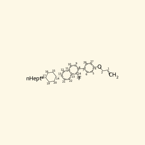 C=CCOc1ccc(-c2ccc3cc([C@H]4CC[C@H](CCCCCCC)CC4)ccc3c2F)cc1